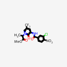 COC(=O)C(C)n1cc(C(F)(F)F)cc(NC(=O)c2ccc([N+](=O)[O-])c(Cl)c2)c1=O